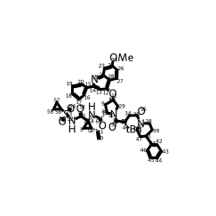 C=C[C@@H]1C[C@]1(NC(=O)[C@@H]1C[C@@H](Oc2cc(-c3ccccc3)nc3cc(OC)ccc23)CN1C(=O)[C@@H](CC(=O)N1CCC(c2ccccc2)CC1)C(C)(C)C)C(=O)NS(=O)(=O)C1CC1